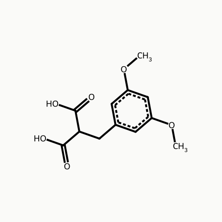 COc1cc(CC(C(=O)O)C(=O)O)cc(OC)c1